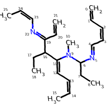 C=C/C=C\C=NC(CC)N(C)/C(=C\C=C/C)C(CC)/C(C=C)=N/C=C\C